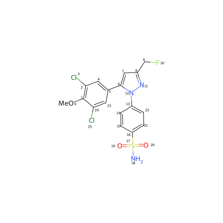 COc1c(Cl)cc(-c2cc(CF)nn2-c2ccc(S(N)(=O)=O)cc2)cc1Cl